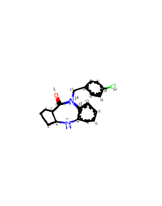 O=C1C2CCCC2Nc2ccccc2N1Cc1ccc(Cl)cc1